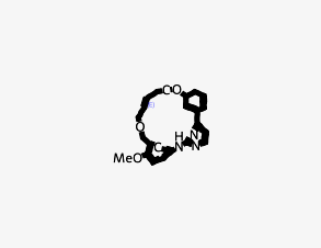 COc1ccc2cc1COC/C=C/CCOC1C=C(C=CC1)c1ccnc(n1)N2